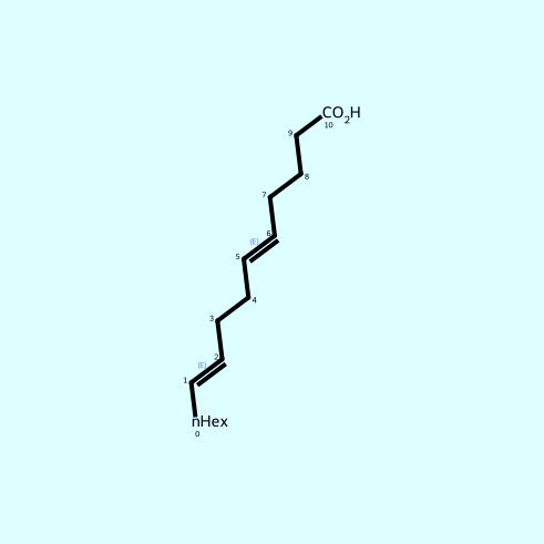 CCCCCC/C=C/CC/C=C/CCCC(=O)O